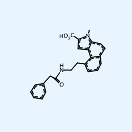 Cn1c(C(=O)O)cc2c3c(CCNC(=O)Cc4ccccc4)cccc3ccc21